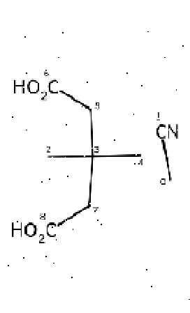 CC#N.CC(C)(CC(=O)O)CC(=O)O